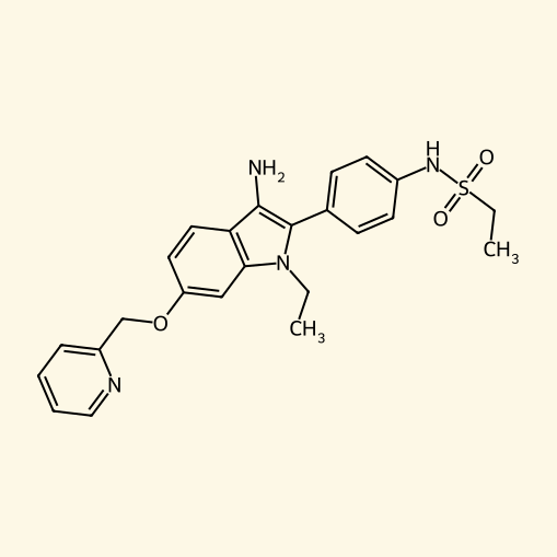 CCn1c(-c2ccc(NS(=O)(=O)CC)cc2)c(N)c2ccc(OCc3ccccn3)cc21